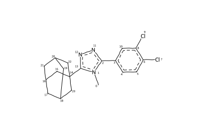 Cn1c(-c2ccc(Cl)c(Cl)c2)nnc1C12CC3CC(CC(C3)C1)C2